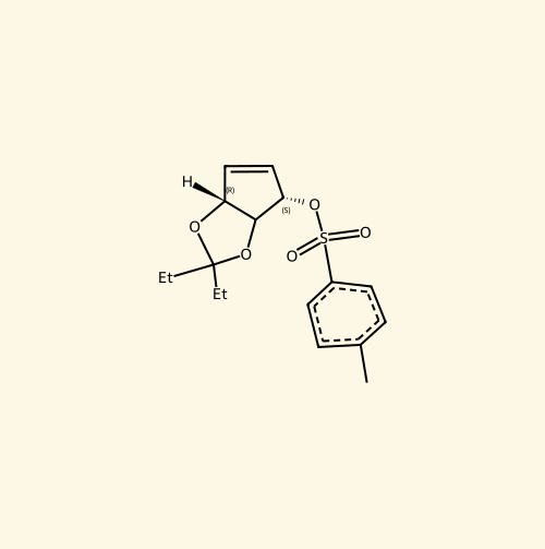 CCC1(CC)OC2[C@@H](OS(=O)(=O)c3ccc(C)cc3)C=C[C@H]2O1